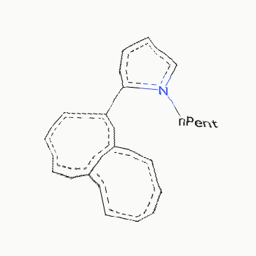 CCCCCn1cccc1-c1cccc2ccccc12